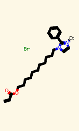 C=CC(=O)OCCCCCCCCCCCn1cc[n+](CC)c1-c1ccccc1.[Br-]